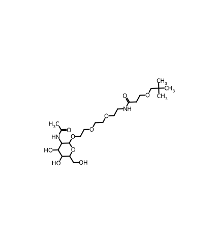 CC(=O)NC1C(OCCOCCOCCNC(=O)CCOCC(C)(C)C)OC(CO)C(O)C1O